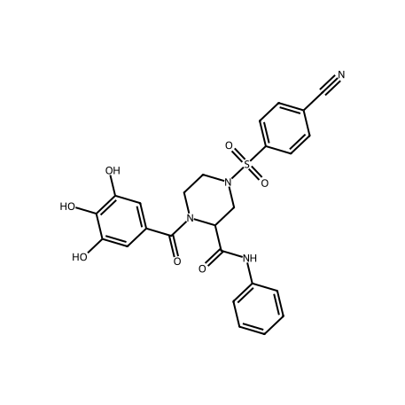 N#Cc1ccc(S(=O)(=O)N2CCN(C(=O)c3cc(O)c(O)c(O)c3)C(C(=O)Nc3ccccc3)C2)cc1